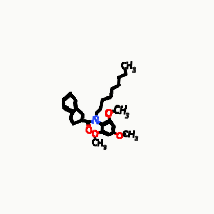 CCCCCCCCCN(C(=O)C1CCc2ccccc2C1)c1c(OC)cc(OC)cc1OC